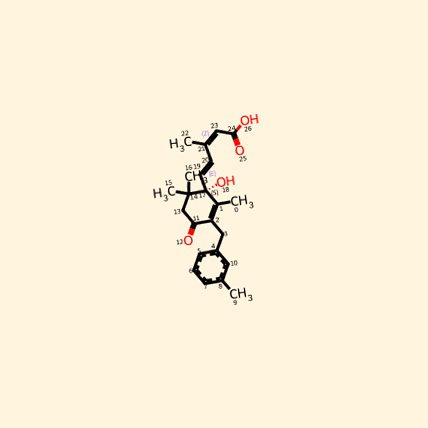 CC1=C(Cc2cccc(C)c2)C(=O)CC(C)(C)[C@@]1(O)/C=C/C(C)=C\C(=O)O